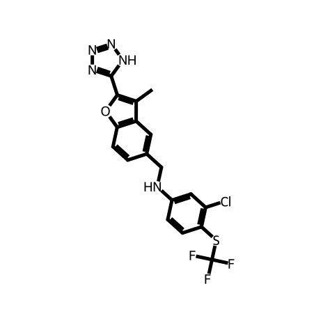 Cc1c(-c2nnn[nH]2)oc2ccc(CNc3ccc(SC(F)(F)F)c(Cl)c3)cc12